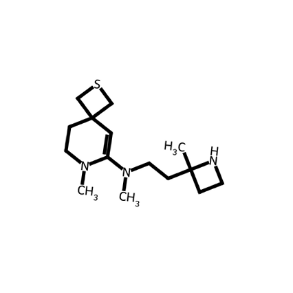 CN1CCC2(C=C1N(C)CCC1(C)CCN1)CSC2